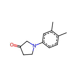 Cc1ccc(N2CCC(=O)C2)cc1C